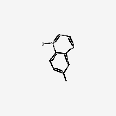 Cc1ccc2c(ccc[n+]2[O-])c1